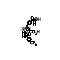 O=C(Nc1ccc(C(F)(F)F)cc1)Nc1[nH]c(Cc2ccc(C(=O)NO)cc2)nc1C(=O)O